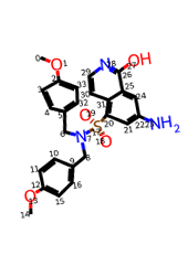 COc1ccc(CN(Cc2ccc(OC)cc2)S(=O)(=O)c2cc(N)cc3c(O)nccc23)cc1